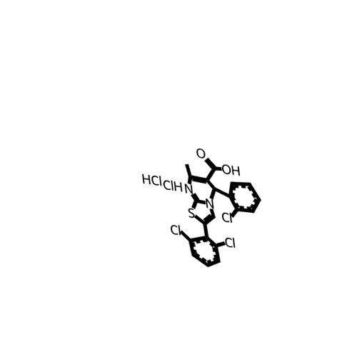 CC1=C(C(=O)O)C(c2ccccc2Cl)N2C=C(c3c(Cl)cccc3Cl)SC2=N1.Cl.Cl